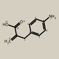 C=C(Cc1ccc(N)cc1)C(=O)O